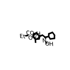 CCC(Oc1ccc(CC(=NO)C2CCCCC2)cc1C)C(=O)O